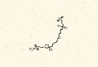 CCC(CC)(CCCCOCCCCC(CC)(CC)CCCS(C)(=O)=O)CCCCS(N)(=O)=O